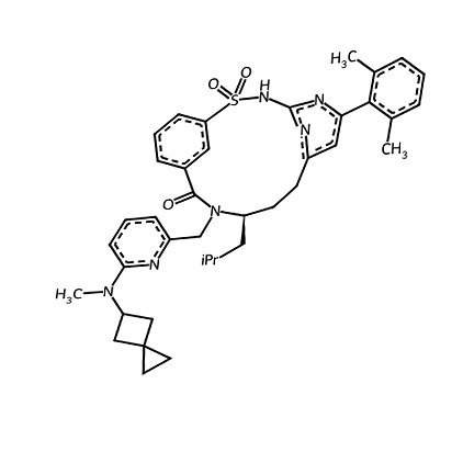 Cc1cccc(C)c1-c1cc2nc(n1)NS(=O)(=O)c1cccc(c1)C(=O)N(Cc1cccc(N(C)C3CC4(CC4)C3)n1)[C@H](CC(C)C)CC2